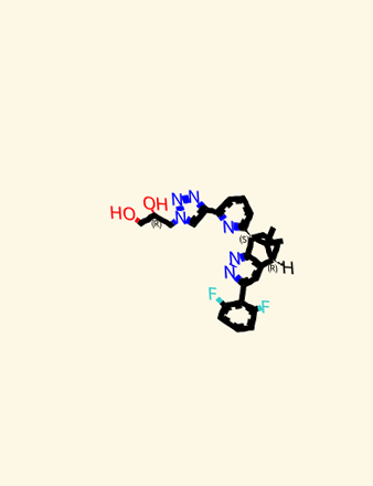 CC1(C)[C@H]2CC[C@]1(c1cccc(-c3cn(C[C@@H](O)CO)nn3)n1)c1nnc(-c3c(F)cccc3F)cc12